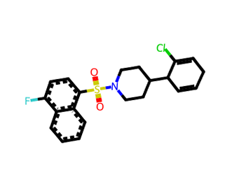 O=S(=O)(c1ccc(F)c2ccccc12)N1CCC(C2C=CCC=C2Cl)CC1